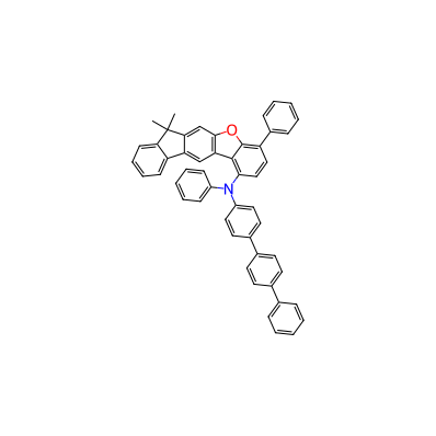 CC1(C)c2ccccc2-c2cc3c(cc21)oc1c(-c2ccccc2)ccc(N(c2ccccc2)c2ccc(-c4ccc(-c5ccccc5)cc4)cc2)c13